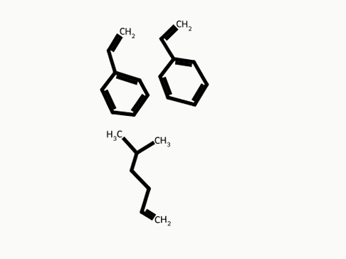 C=CCCC(C)C.C=Cc1ccccc1.C=Cc1ccccc1